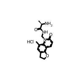 Cc1cc2c(c3ccc(=O)n(CNC(=O)[C@@H](C)N)c13)OCC2.Cl